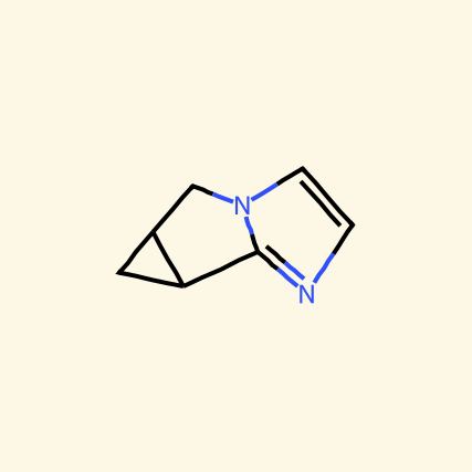 c1cn2c(n1)C1CC1C2